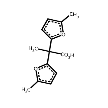 Cc1ccc(C(C)(C(=O)O)c2ccc(C)o2)o1